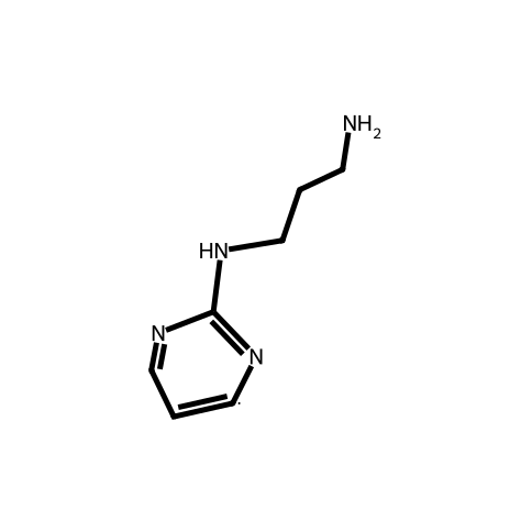 NCCCNc1n[c]ccn1